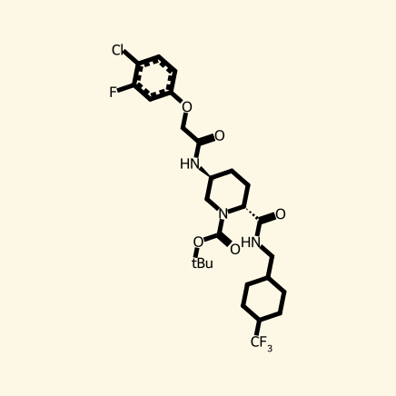 CC(C)(C)OC(=O)N1C[C@@H](NC(=O)COc2ccc(Cl)c(F)c2)CC[C@@H]1C(=O)NCC1CCC(C(F)(F)F)CC1